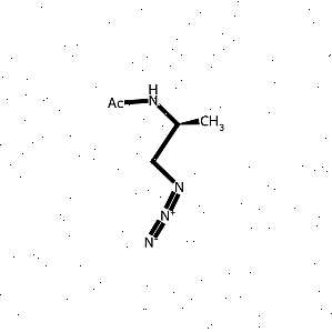 CC(=O)N[C@@H](C)CN=[N+]=[N-]